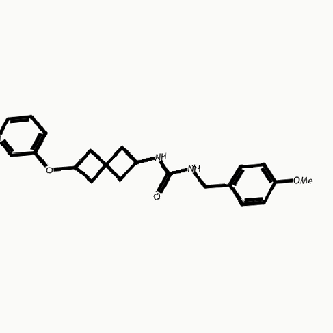 COc1ccc(CNC(=O)NC2CC3(C2)CC(Oc2cccnc2)C3)cc1